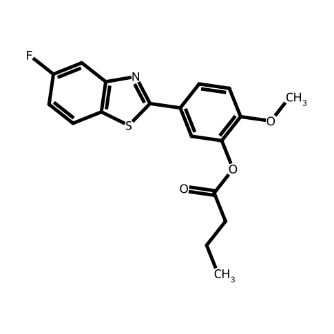 CCCC(=O)Oc1cc(-c2nc3cc(F)ccc3s2)ccc1OC